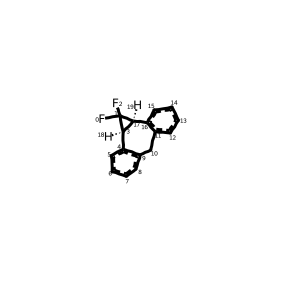 FC1(F)[C@@H]2c3ccccc3Cc3ccccc3[C@@H]21